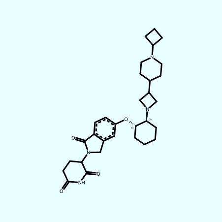 O=C1CCC(N2Cc3cc(O[C@H]4CCCC[C@@H]4N4CC(C5CCN(C6CCC6)CC5)C4)ccc3C2=O)C(=O)N1